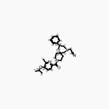 Cc1nc(C(=O)N2CCC3(CC2)CN(CC#N)CC(c2ccccc2)O3)ccc1OC(C)C